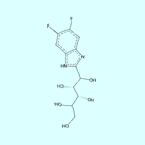 OCC(O)[C@@H](O)[C@H](O)C(O)c1nc2cc(F)c(F)cc2[nH]1